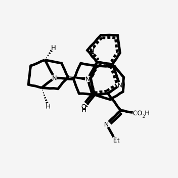 CC/N=C(\C(=O)O)c1nc2ccccc2n([C@H]2C[C@H]3CC[C@@H](C2)N3C2C[C@H]3CCCC[C@@H](C2)C3)c1=O